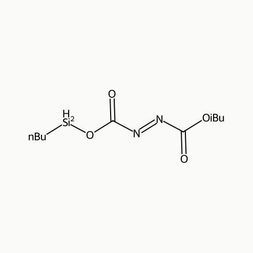 CCCC[SiH2]OC(=O)N=NC(=O)OCC(C)C